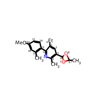 CCc1cc(C2OC(C)O2)c(C)nc1-c1ccc(OC)cc1C